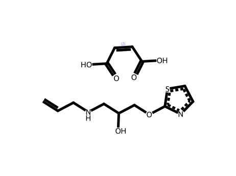 C=CCNCC(O)COc1nccs1.O=C(O)/C=C\C(=O)O